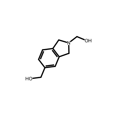 OCc1ccc2c(c1)CN(CO)C2